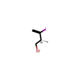 C=C(I)[C@H](C)CBr